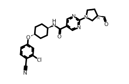 N#Cc1ccc(O[C@H]2CC[C@H](NC(=O)c3cnc(N4CC[C@@H](C=O)C4)nc3)CC2)cc1Cl